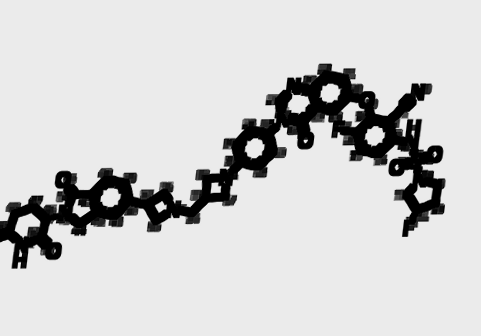 N#Cc1c(NS(=O)(=O)N2CC[C@@H](F)C2)ccc(F)c1Oc1ccc2ncn(-c3ccc(N4CC(CN5CC(c6ccc7c(c6)CN([C@H]6CCC(=O)NC6=O)C7=O)C5)C4)cc3)c(=O)c2c1